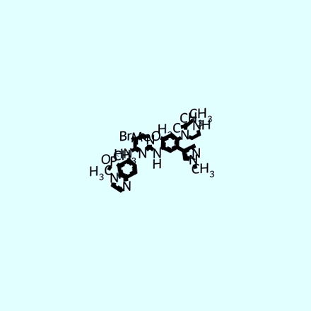 COc1cc(N2CCNC(C)C2(C)C)c(-c2cnn(C)c2)cc1Nc1ncc(Br)c(Nc2ccc3nccnc3c2P(C)(C)=O)n1